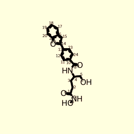 O=C(CCC(CO)NC(=O)c1ccc(-c2cc3ccccc3o2)cc1)NO